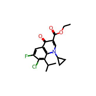 CCOC(=O)c1cn(C2CC2)c2c(C(C)C)c(Cl)c(F)cc2c1=O